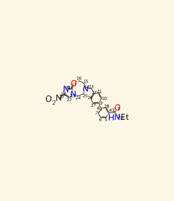 CCNC(=O)c1cccc(-c2ccc(CN3CCOc4nc([N+](=O)[O-])cn4CC3)cc2)c1